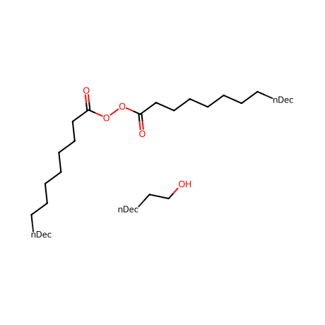 CCCCCCCCCCCCCCCCCC(=O)OOC(=O)CCCCCCCCCCCCCCCCC.CCCCCCCCCCCCO